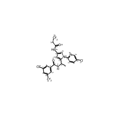 CC(NC(=O)c1cc(Cl)cc(C(F)(F)F)c1)c1nc(NC(=O)CC(F)(F)F)nn1-c1ccc(Cl)cn1